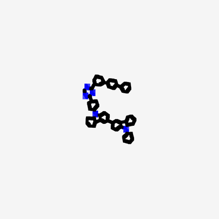 c1ccc(-c2ccc(-c3cccc(-c4ncnc(-c5ccc(-n6c7ccccc7c7cc(-c8ccc9c(c8)c8ccccc8n9-c8ccccc8)ccc76)cc5)n4)c3)cc2)cc1